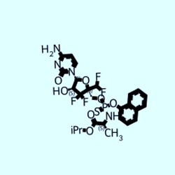 CC(C)OC(=O)[C@H](C)NP(=S)(OC[C@@]1(C(F)F)O[C@@H](n2ccc(N)nc2=O)[C@H](O)C1(F)F)Oc1cccc2ccccc12